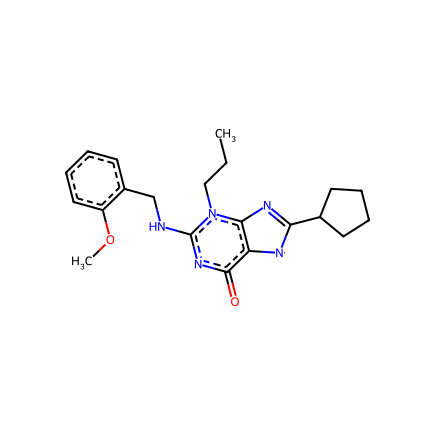 CCCn1c(NCc2ccccc2OC)nc(=O)c2c1N=C(C1CCCC1)[N]2